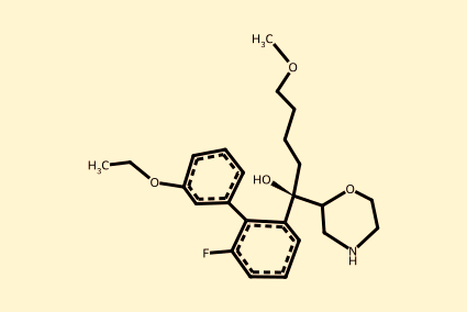 CCOc1cccc(-c2c(F)cccc2[C@](O)(CCCCOC)C2CNCCO2)c1